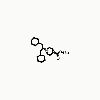 CC(C)(C)OC(=O)N1CCN(C(CC2CCCCC2)CC2CCCCC2)CC1